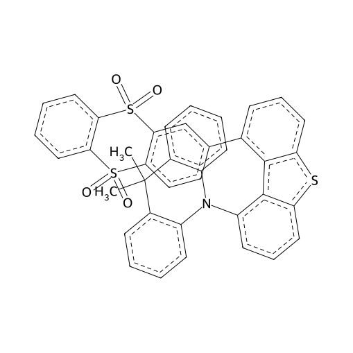 CC1(C)c2ccccc2N(c2cccc3sc4cccc(-c5ccc6c(c5)S(=O)(=O)c5ccccc5S6(=O)=O)c4c23)c2ccccc21